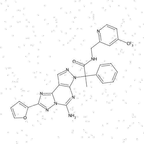 CC(C(=O)NCc1cc(C(F)(F)F)ccn1)(c1ccccc1)n1ncc2c1nc(N)n1nc(-c3ccco3)nc21